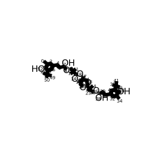 Cc1cc(C=CC(O)OCC(C)(C)C2OCC3(CO2)COC(C(C)(C)COC(O)C=Cc2cc(C)c(O)c(C(C)(C)C)c2)OC3)cc(C(C)(C)C)c1O